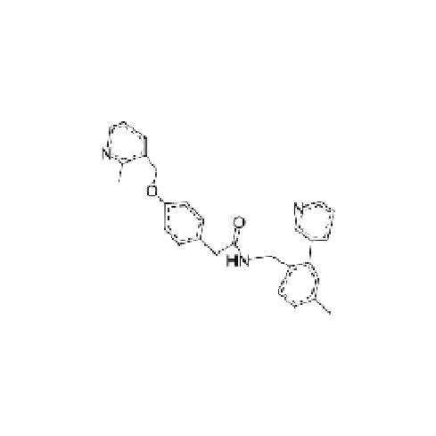 Cc1ccc(CNC(=O)Cc2ccc(OCc3cccnc3C)cc2)c(-c2cccnc2)c1